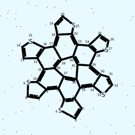 c1cc2c(s1)c1c3ccsc3c3c4ccsc4c4c5ccsc5c5c6ccsc6c6c7ccsc7c2c2c1c3c4c5c62